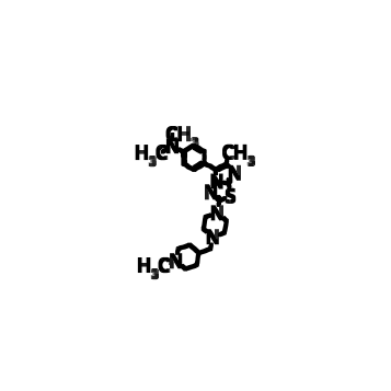 Cc1nc2sc(N3CCN(CC4CCN(C)CC4)CC3)nn2c1-c1ccc(N(C)C)cc1